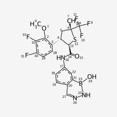 COc1c([C@@H]2C[C@](C)(C(F)(F)F)S[C@H]2C(=O)Nc2ccc3c(c2)B(O)NN=C3)ccc(F)c1F